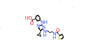 O=C(O)c1cccc(Nc2ncc(C3CC3)c(NCCCNC(=O)c3cccs3)n2)c1